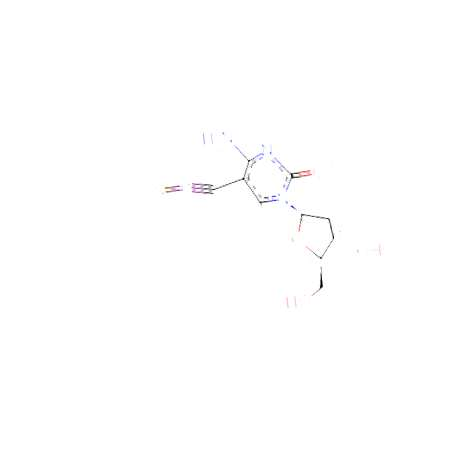 Nc1nc(=O)n([C@H]2C[C@H](O)[C@@H](CO)O2)cc1C#P=S